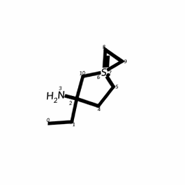 CCC1(N)CCS2(C)(=CC2)C1